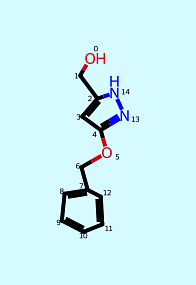 OCc1cc(OCc2ccccc2)n[nH]1